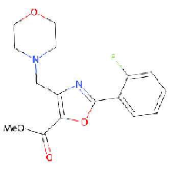 COC(=O)c1oc(-c2ccccc2F)nc1CN1CCOCC1